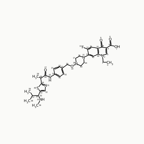 CCn1cc(C(=O)O)c(=O)c2cc(F)c(N3CCN(OCc4ccc(NC(=O)C(C)c5ncc([C@@H](NC)C(C)C)s5)cc4)CC3)cc21